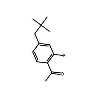 CC(=O)c1ccc(CC(C)(C)C)cc1F